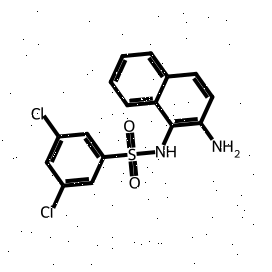 Nc1ccc2ccccc2c1NS(=O)(=O)c1cc(Cl)cc(Cl)c1